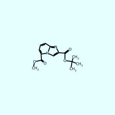 COC(=O)c1cccc2nc(C(=O)OC(C)(C)C)cn12